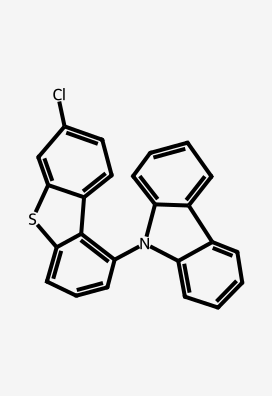 Clc1ccc2c(c1)sc1cccc(-n3c4ccccc4c4ccccc43)c12